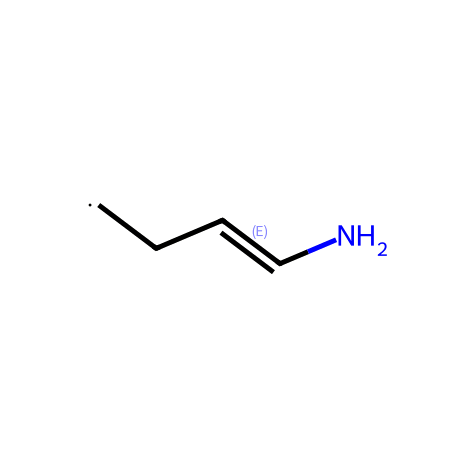 [CH2]C/C=C/N